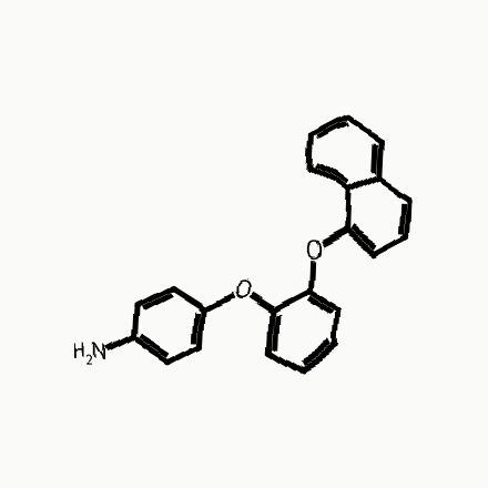 Nc1ccc(Oc2ccccc2Oc2cccc3ccccc23)cc1